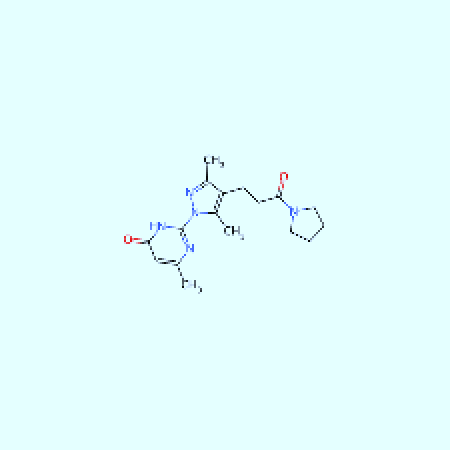 Cc1cc(=O)[nH]c(-n2nc(C)c(CCC(=O)N3CCCC3)c2C)n1